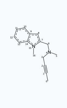 CC#CCN(C)Cc1cc2ccccc2n1C